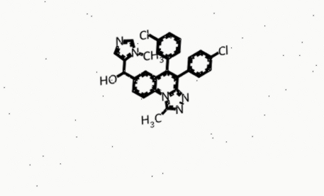 Cc1nnc2c(-c3ccc(Cl)cc3)c(-c3cccc(Cl)c3)c3cc(C(O)c4cncn4C)ccc3n12